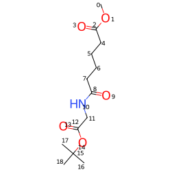 COC(=O)CCCCC(=O)NCC(=O)OC(C)(C)C